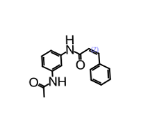 CC(=O)Nc1cccc(NC(=O)/C=C\c2ccccc2)c1